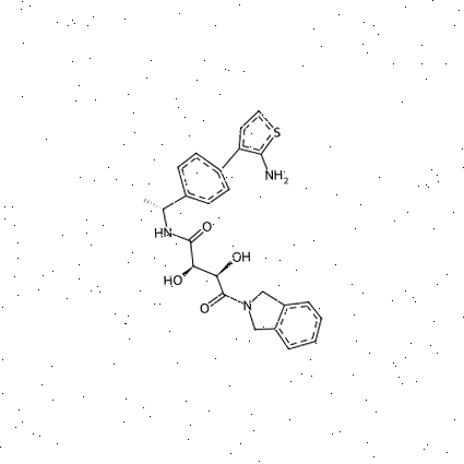 C[C@@H](NC(=O)[C@H](O)[C@@H](O)C(=O)N1Cc2ccccc2C1)c1ccc(-c2ccsc2N)cc1